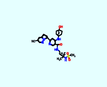 CC(C)(CCNC(=O)c1cnc(-c2ccc3cc(C#N)cnn23)cc1NC12CCC(O)(CC1)CC2)NS(C)(=O)=O